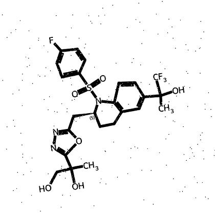 CC(O)(CO)c1nnc(C[C@@H]2CCc3cc(C(C)(O)C(F)(F)F)ccc3N2S(=O)(=O)c2ccc(F)cc2)o1